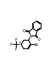 O=C1c2ccccc2C(=O)N1C1C[C@H](C(F)(F)F)CC=C1Br